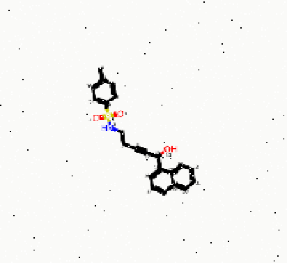 Cc1ccc(S(=O)(=O)NCCC#CC(O)c2cccc3ccccc23)cc1